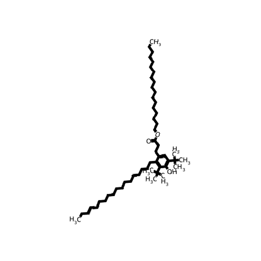 CCCCCCCCCCCCCCCCCCOC(=O)CCc1cc(C(C)(C)C)c(O)c(C(C)(C)C)c1CCCCCCCCCCCCCCCCCC